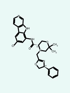 CC1(C)CN(CC2=N[C@@H](c3ccccc3)CO2)[C@H](C(=O)Nc2cc(Cl)cc3c2[nH]c2cnccc23)CO1